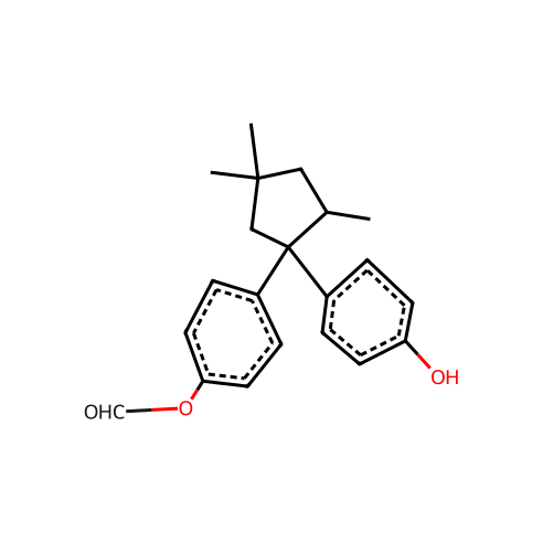 CC1CC(C)(C)CC1(c1ccc(O)cc1)c1ccc(OC=O)cc1